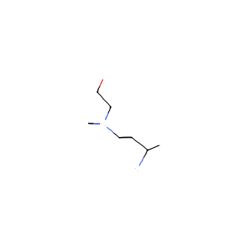 CC(N)CCN(C)CCO